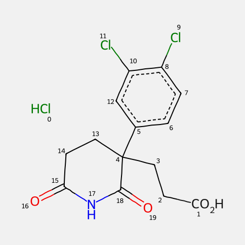 Cl.O=C(O)CCC1(c2ccc(Cl)c(Cl)c2)CCC(=O)NC1=O